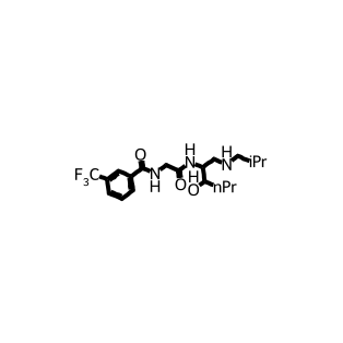 CCCC(O)C(CNCC(C)C)NC(=O)CNC(=O)c1cccc(C(F)(F)F)c1